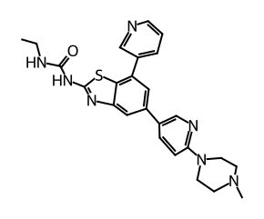 CCNC(=O)Nc1nc2cc(-c3ccc(N4CCN(C)CC4)nc3)cc(-c3cccnc3)c2s1